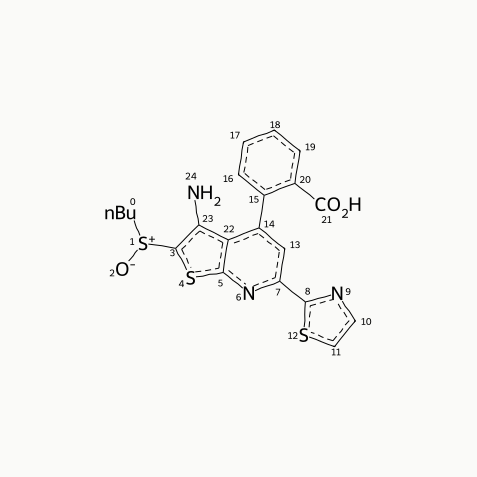 CCCC[S+]([O-])c1sc2nc(-c3nccs3)cc(-c3ccccc3C(=O)O)c2c1N